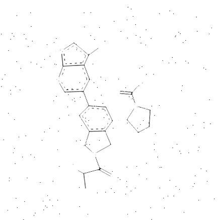 Cc1c[nH]c2ncc(-c3cc4c(c([C@H]5CCCN5C(=O)O)c3)CN(C(=O)C(C)O)C4)cc12